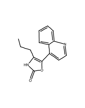 CCCc1[nH]c(=O)oc1-c1ccnc2ccccc12